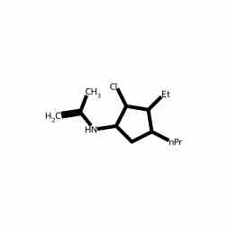 C=C(C)NC1CC(CCC)C(CC)C1Cl